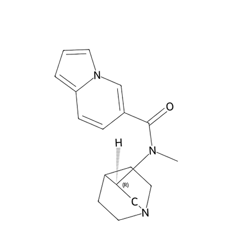 CN(C(=O)c1ccc2cccn2c1)[C@H]1CN2CCC1CC2